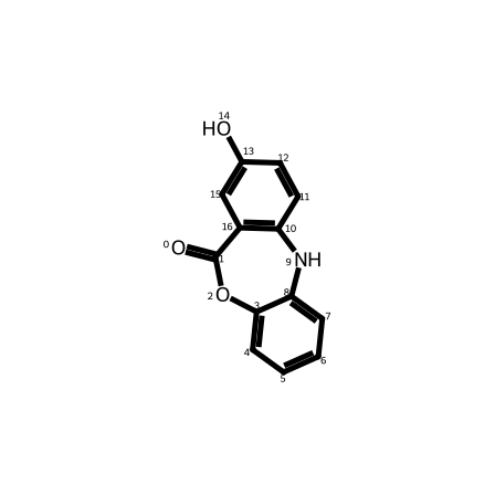 O=C1Oc2ccccc2Nc2ccc(O)cc21